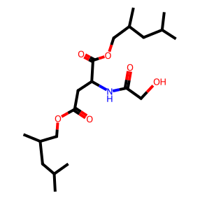 CC(C)CC(C)COC(=O)CC(NC(=O)CO)C(=O)OCC(C)CC(C)C